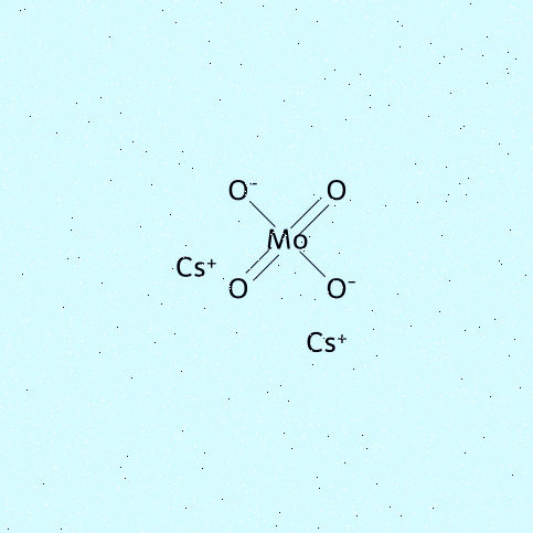 [Cs+].[Cs+].[O]=[Mo](=[O])([O-])[O-]